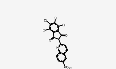 CCCCCCCCc1ccc2nc(C3C(=O)c4c(Cl)c(Cl)c(Cl)c(Cl)c4C3=O)ccc2c1